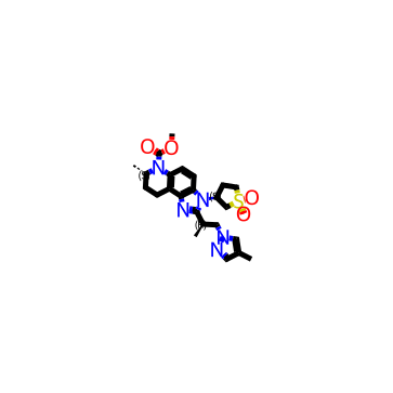 COC(=O)N1c2ccc3c(nc([C@H](C)Cn4cc(C)cn4)n3[C@H]3CCS(=O)(=O)C3)c2CC[C@@H]1C